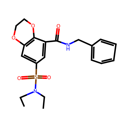 CCN(CC)S(=O)(=O)c1cc2c(c(C(=O)NCc3ccccc3)c1)OCCO2